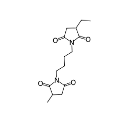 CCC1CC(=O)N(CCCCN2C(=O)CC(C)C2=O)C1=O